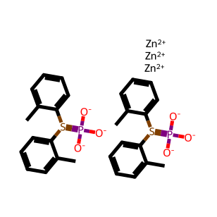 Cc1ccccc1S(c1ccccc1C)=P([O-])([O-])[O-].Cc1ccccc1S(c1ccccc1C)=P([O-])([O-])[O-].[Zn+2].[Zn+2].[Zn+2]